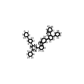 c1ccc(-c2ccc(-c3nc(-c4ccccc4)nc(-c4cccc5c4oc4ccc(-c6ccc(-c7ccccc7)c7c6sc6ccccc67)cc45)n3)cc2)cc1